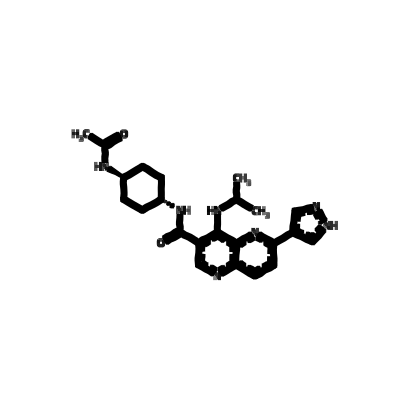 CC(=O)N[C@H]1CC[C@H](NC(=O)c2cnc3ccc(-c4cn[nH]c4)nc3c2NC(C)C)CC1